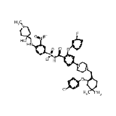 CN1CCC(O)(CNc2ccc(S(=O)(=O)NC(=O)c3ccc(N4CCN(CC5=C(Oc6ccc(Cl)cc6)CC(C)(C)CC5)CC4)cc3Oc3cccc(F)c3)cc2[N+](=O)[O-])CC1